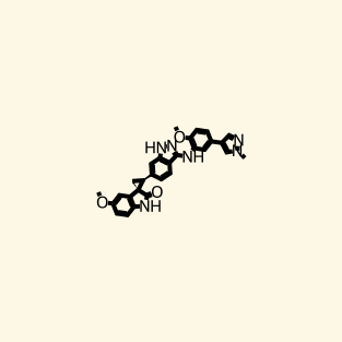 COc1ccc2c(c1)[C@]1(C[C@H]1c1ccc3c(Nc4cc(-c5cnn(C)c5)ccc4OC)n[nH]c3c1)C(=O)N2